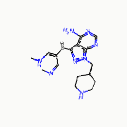 C/N=C\C(Bc1nn(CC2CCNCC2)c2ncnc(N)c12)=C/NC